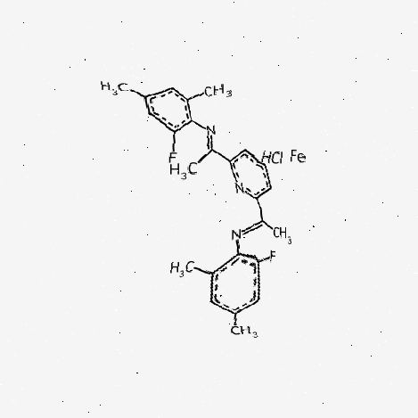 C/C(=N\c1c(C)cc(C)cc1F)c1cccc(/C(C)=N/c2c(C)cc(C)cc2F)n1.Cl.[Fe]